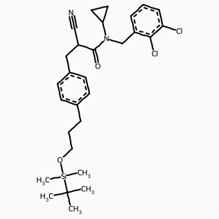 CC(C)(C)[Si](C)(C)OCCCc1ccc(CC(C#N)C(=O)N(Cc2cccc(Cl)c2Cl)C2CC2)cc1